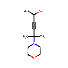 CSC(O)C#CC(C)(C)N1CCOCC1